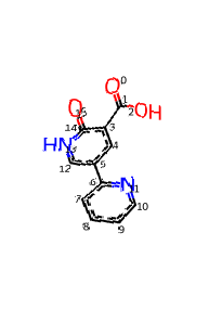 O=C(O)c1cc(-c2ccccn2)c[nH]c1=O